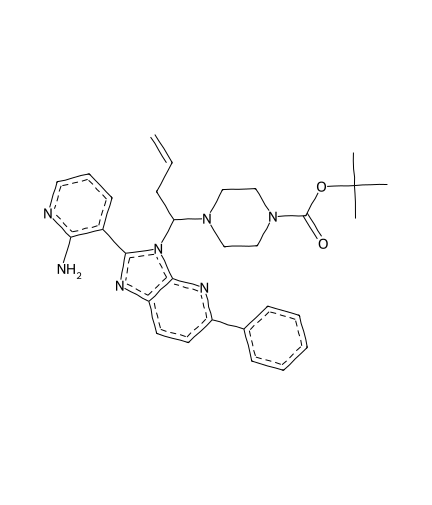 C=CCC(N1CCN(C(=O)OC(C)(C)C)CC1)n1c(-c2cccnc2N)nc2ccc(-c3ccccc3)nc21